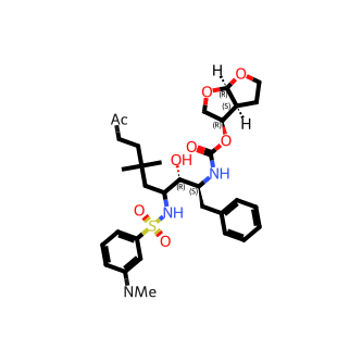 CNc1cccc(S(=O)(=O)NC(CC(C)(C)CCC(C)=O)[C@H](O)[C@H](Cc2ccccc2)NC(=O)O[C@H]2CO[C@H]3OCC[C@H]32)c1